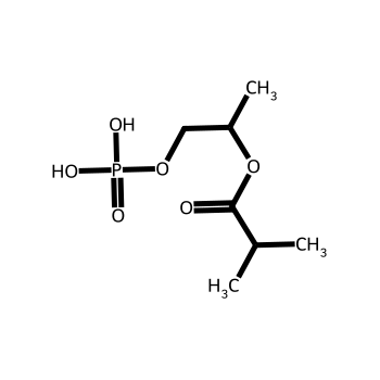 CC(COP(=O)(O)O)OC(=O)C(C)C